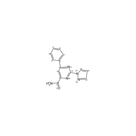 NC(=O)c1cc(-c2ccccc2)nc(-n2cccn2)n1